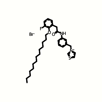 CCCCCCCCCCCCCCOc1c(F)cccc1CC(=O)Nc1cccc(C[n+]2ccsc2)c1.[Br-]